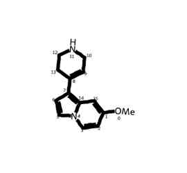 COc1ccn2ccc(C3=CCNCC3)c2c1